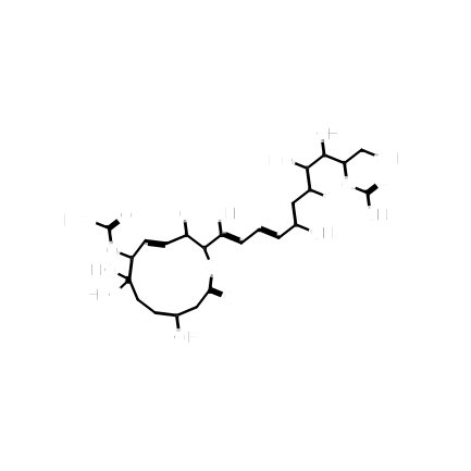 CCC(OC(C)=O)C(C)C(O)C(Cl)CC(C)/C=C/C=C(\C)C1OC(=O)CC(O)CCC(C)(O)C(OC(C)=O)/C=C/C1C